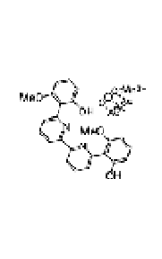 CC(=O)[O-].CC(=O)[O-].CC(=O)[O-].COc1cccc(O)c1-c1cccc(-c2cccc(-c3c(O)cccc3OC)n2)n1.[Mn+3]